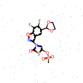 CS(=O)(=O)Oc1cn(-c2noc3c(F)c(F)c(C4OCCO4)cc23)c(=O)s1